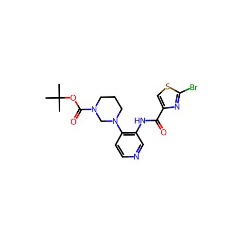 CC(C)(C)OC(=O)N1CCCN(c2ccncc2NC(=O)c2csc(Br)n2)C1